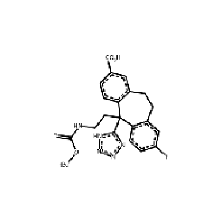 CC(C)(C)OC(=O)NCCC1(c2nnn[nH]2)c2ccc(F)cc2CCc2cc(C(=O)O)ccc21